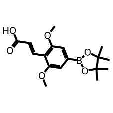 COc1cc(B2OC(C)(C)C(C)(C)O2)cc(OC)c1/C=C/C(=O)O